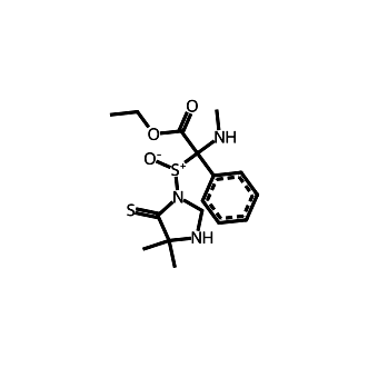 CCOC(=O)C(NC)(c1ccccc1)[S+]([O-])N1CNC(C)(C)C1=S